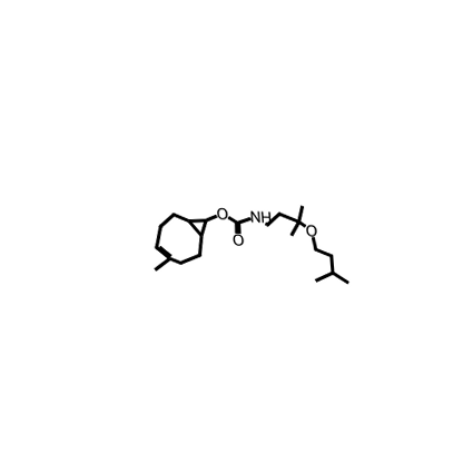 C/C1=C/CCC2C(CC1)C2OC(=O)NCCC(C)(C)OCCC(C)C